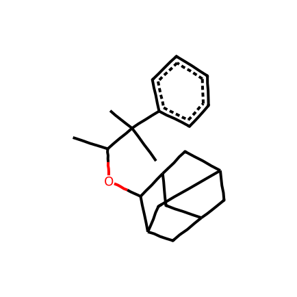 CC(OC1C2CC3CC(C2)CC1C3)C(C)(C)c1ccccc1